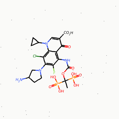 CC(OC(=O)Nc1c(F)c(N2CCC(N)C2)c(Cl)c2c1c(=O)c(C(=O)O)cn2C1CC1)(P(=O)(O)O)P(=O)(O)O